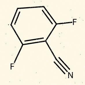 N#Cc1c(F)[c]ccc1F